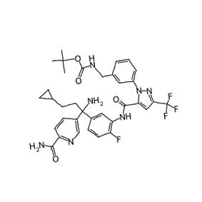 CC(C)(C)OC(=O)NCc1cccc(-n2nc(C(F)(F)F)cc2C(=O)Nc2cc(C(N)(CCC3CC3)c3ccc(C(N)=O)nc3)ccc2F)c1